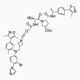 CC(=O)O[C@@H]1C[C@@H](C(=O)N[C@@H](C)c2ccc(-c3scnc3C)cc2)N(C(=O)[C@@H](NC(=O)COCCN2CC(CN(c3ccc(-n4ccnc4)c(Br)c3)c3cc(-c4c(C)noc4C)ccc3C)C2)C(C)(C)C)C1